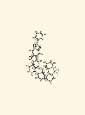 CC1(C)c2ccccc2-c2c(N(c3ccc4oc5cc6oc(-c7ccccc7)nc6cc5c4c3)c3ccccc3-c3ccccc3)cccc21